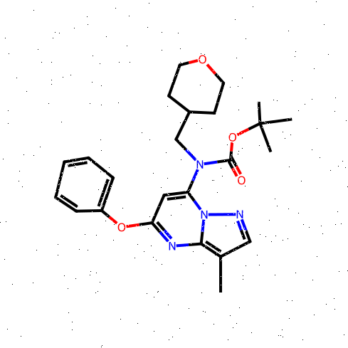 Cc1cnn2c(N(CC3CCOCC3)C(=O)OC(C)(C)C)cc(Oc3ccccc3)nc12